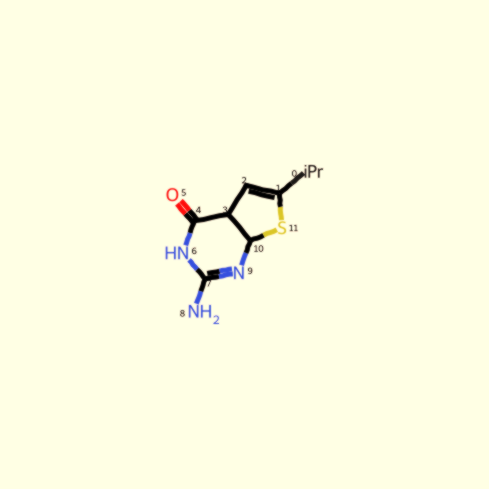 CC(C)C1=CC2C(=O)NC(N)=NC2S1